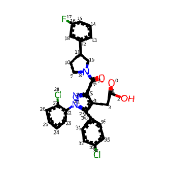 O=C(O)Cc1c(C(=O)N2CCC(c3cccc(F)c3)C2)nn(-c2ccccc2Cl)c1-c1ccc(Cl)cc1